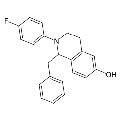 Oc1ccc2c(c1)CCN(c1ccc(F)cc1)C2Cc1ccccc1